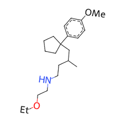 CCOCCNCCC(C)CC1(c2ccc(OC)cc2)CCCC1